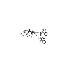 C[C@]12CCC3[C@@H](CC[C@H]4CC(F)(F)CC[C@]34C)[C@@H]1CC[C@@H]2OCCCNC(=O)c1cc(Cc2n[nH]c(=O)c3ccccc23)ccc1F